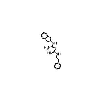 N=C(/N=C(\N)NC1Cc2ccccc2C1)NCCc1ccccc1